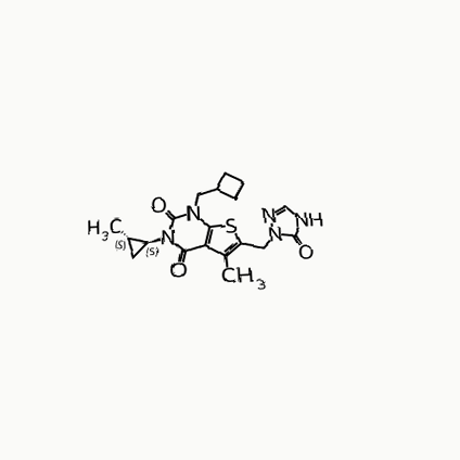 Cc1c(Cn2nc[nH]c2=O)sc2c1c(=O)n([C@H]1C[C@@H]1C)c(=O)n2CC1CCC1